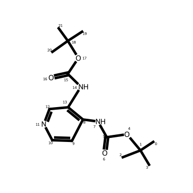 CC(C)(C)OC(=O)Nc1ccncc1NC(=O)OC(C)(C)C